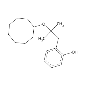 CC(C)(Cc1ccccc1O)OC1CCCCCCC1